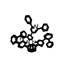 N#Cc1cc(-c2cc(-c3ccccc3)nc(-c3ccccc3)c2)cc(-n2c3ccccc3c3ccc(-c4ccccc4-c4ccccc4)cc32)c1-n1c2ccccc2c2ccc(-c3ccccc3-c3ccccc3)cc21